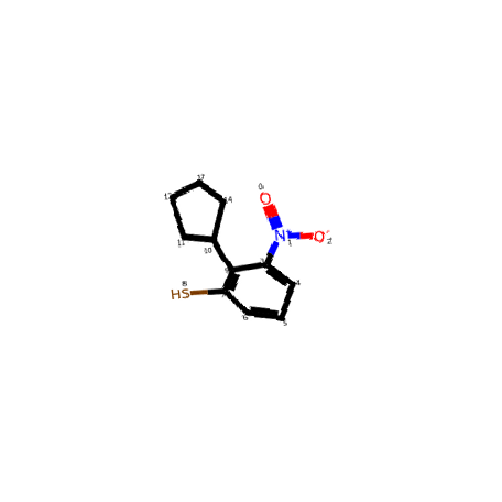 O=[N+]([O-])c1cccc(S)c1C1CCCC1